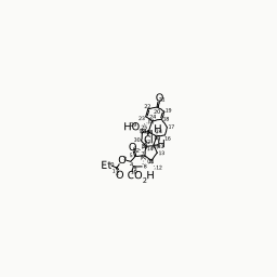 CCC(=O)OCC(=O)[C@]1(CCC(=O)O)[C@@H](C)C[C@H]2[C@@H]3CCC4=CC(=O)C=C[C@]4(C)[C@@]3(Cl)[C@@H](O)C[C@@]21C